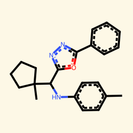 Cc1ccc(NC(c2nnc(-c3ccccc3)o2)C2(C)CCCC2)cc1